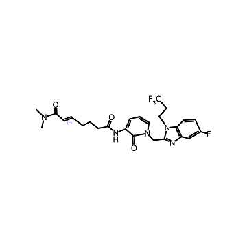 CN(C)C(=O)/C=C/CCCC(=O)Nc1cccn(Cc2nc3cc(F)ccc3n2CCC(F)(F)F)c1=O